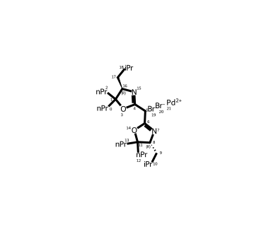 CCCC1(CCC)OC(CC2=N[C@H](CC(C)C)C(CCC)(CCC)O2)=N[C@@H]1CC(C)C.[Br-].[Br-].[Pd+2]